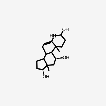 CC12CCC(O)NC1=CCC1C2[C@@H](O)CC2(C)C1CC[C@@H]2O